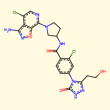 Nc1noc2c(N3CCC(NC(=O)c4ccc(-n5c(CCO)n[nH]c5=O)cc4Cl)C3)ncc(Cl)c12